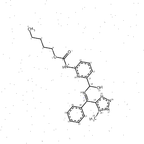 CCCCCOC(=O)Nc1cccc(C(O)/N=C(/c2ccccc2)c2nnnn2C)n1